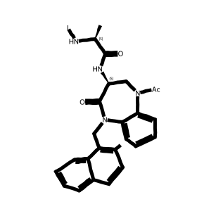 CC(=O)N1C[C@H](NC(=O)[C@H](C)NI)C(=O)N(Cc2c(C)ccc3ccccc23)c2ccccc21